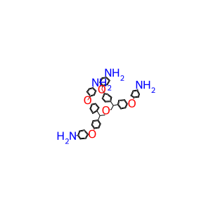 Nc1ccc(Oc2ccc(C(COCC(c3ccc(Oc4ccc(N)cc4)cc3)c3ccc(Oc4ccc(N)cc4)cc3)c3ccc(Oc4ccc(N)cc4)cc3)cc2)cc1